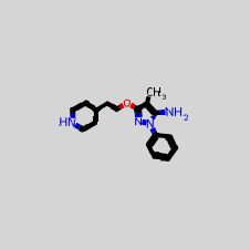 Cc1c(OCCC2CCNCC2)nn(-c2ccccc2)c1N